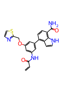 C=CC(=O)Nc1cc(OCc2nccs2)cc(-c2ccc(C(N)=O)c3[nH]ccc23)c1